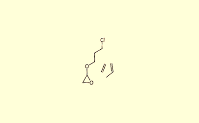 C=C.C=CC.ClCCCOC1CO1